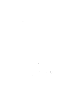 CCc1cc(C)c(C)cc1OCc1ccccc1NC(=S)OC